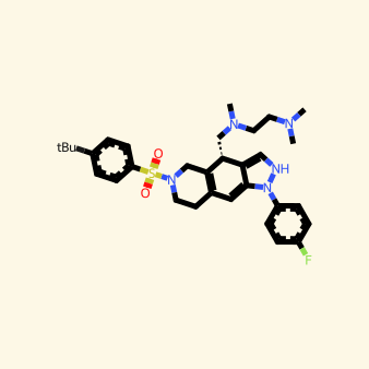 CN(C)CCN(C)C[C@@H]1C2=CNN(c3ccc(F)cc3)C2=CC2=C1CN(S(=O)(=O)c1ccc(C(C)(C)C)cc1)CC2